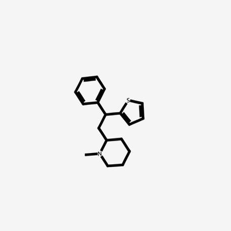 CN1CCCCC1CC(c1ccccc1)c1cccs1